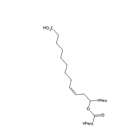 CCCCCCC(C/C=C\CCCCCCCC(=O)O)OC(=O)CCCCC